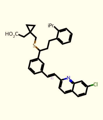 CC(C)c1ccccc1CCC(SCC1(CC(=O)O)CC1)c1cccc(/C=C/c2ccc3ccc(Cl)cc3n2)c1